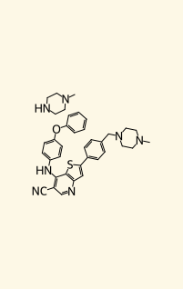 CN1CCN(Cc2ccc(-c3cc4ncc(C#N)c(Nc5ccc(Oc6ccccc6)cc5)c4s3)cc2)CC1.CN1CCNCC1